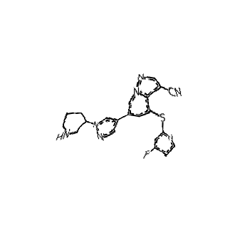 N#Cc1cnn2cc(-c3cnn(C4CCCNC4)c3)cc(Sc3cc(F)ccn3)c12